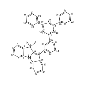 CC1(C)c2ccccc2-n2c1c(-c1cccc(-c3nc(-c4ccccc4)nc(-c4ccccc4)n3)c1)c1ccccc12